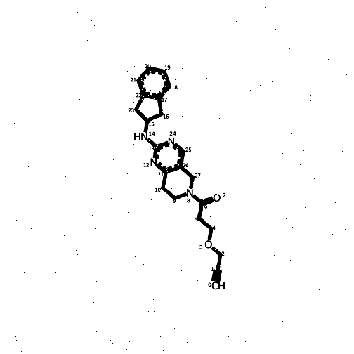 C#CCOCCC(=O)N1CCc2nc(NC3Cc4ccccc4C3)ncc2C1